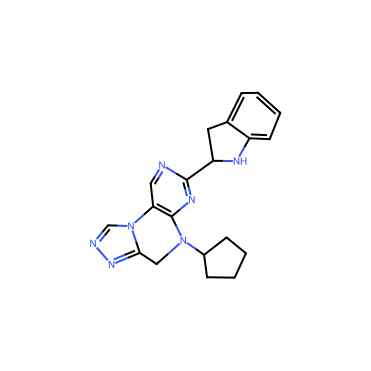 c1ccc2c(c1)CC(c1ncc3c(n1)N(C1CCCC1)Cc1nncn1-3)N2